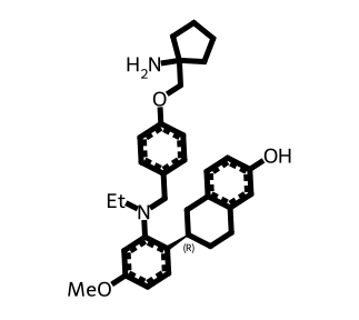 CCN(Cc1ccc(OCC2(N)CCCC2)cc1)c1cc(OC)ccc1[C@@H]1CCc2cc(O)ccc2C1